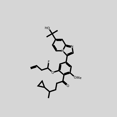 C=CCC(F)Oc1cc(-c2cnc3cc(C(C)(C)O)ccn23)cc(OC)c1C(=O)CCC(C)C1CC1